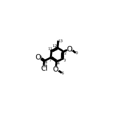 COc1cc(OC)c(C(=O)Cl)cc1C